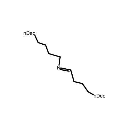 CCCCCCCCCCCCCC=NCCCCCCCCCCCCCC